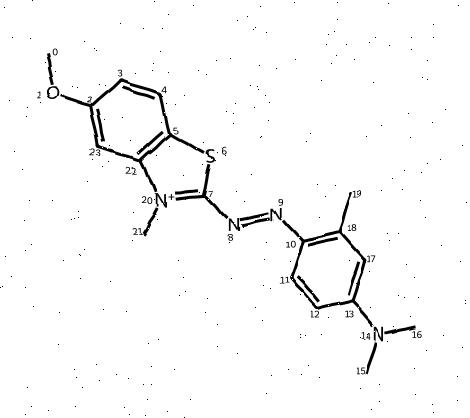 COc1ccc2sc(/N=N/c3ccc(N(C)C)cc3C)[n+](C)c2c1